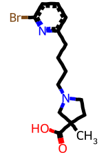 CC1(C(=O)O)CCN(CCCCc2cccc(Br)n2)C1